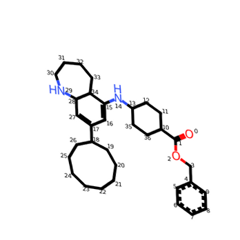 O=C(OCc1ccccc1)C1CCC(NC2=CC(C3CCCCCCCC3)=CC3NCCCCC23)CC1